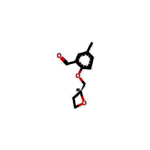 Cc1ccc(OC[C@H]2CCO2)c(C=O)c1